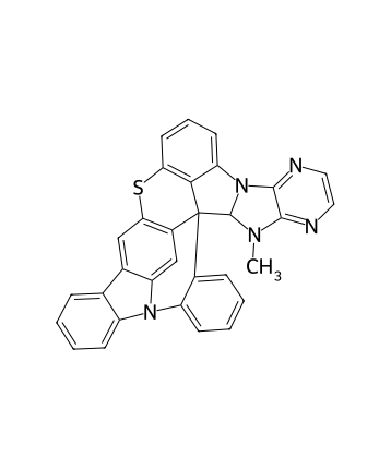 CN1c2nccnc2N2c3cccc4c3C3(c5cc6c(cc5S4)c4ccccc4n6-c4ccccc43)C12